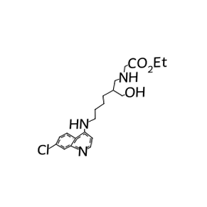 CCOC(=O)CNCC(CO)CCCCNc1ccnc2cc(Cl)ccc12